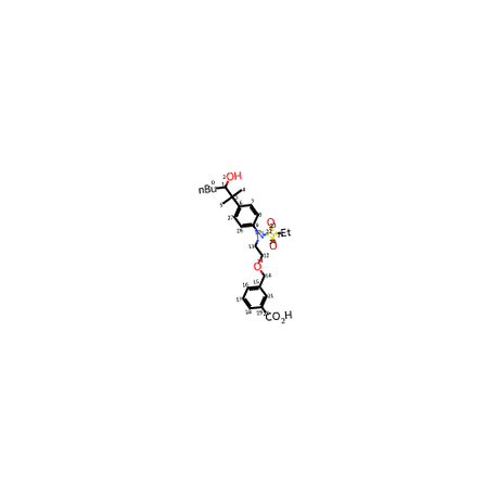 CCCCC(O)C(C)(C)c1ccc(N(CCOCc2cccc(C(=O)O)c2)S(=O)(=O)CC)cc1